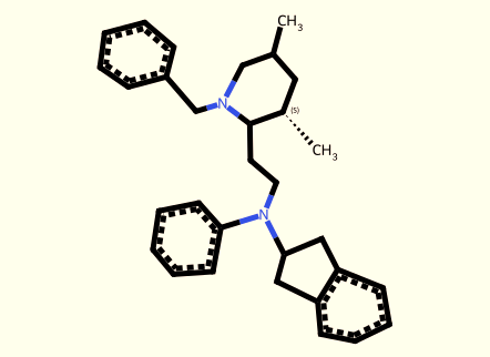 CC1C[C@H](C)C(CCN(c2ccccc2)C2Cc3ccccc3C2)N(Cc2ccccc2)C1